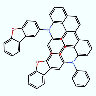 c1ccc(N(c2ccc3oc4ccccc4c3c2)c2cccc3c2ccc2c3ccc3cccc(N(c4ccccc4)c4ccc5oc6ccccc6c5c4)c32)cc1